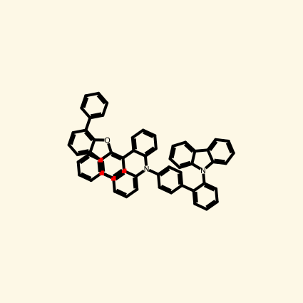 c1ccc(-c2cccc(N(c3ccc(-c4ccccc4-n4c5ccccc5c5ccccc54)cc3)c3ccccc3-c3cccc4c3oc3c(-c5ccccc5)cccc34)c2)cc1